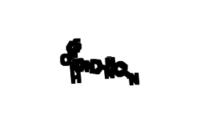 Cn1c(C2CCN([C@@H]3CN[C@H](C(=O)N4CCSC4)C3)CC2)nc2cc(C#N)ccc21